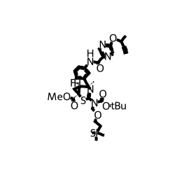 C#CC(C)Oc1cnc(C(=O)Nc2ccc(F)c([C@@]3(C)N=C(N(COCC[Si](C)(C)C)C(=O)OC(C)(C)C)S[C@@]4(C(=O)OC)C[C@H]43)c2)cn1